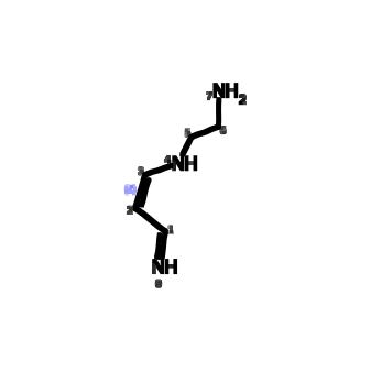 N=C/C=C\NCCN